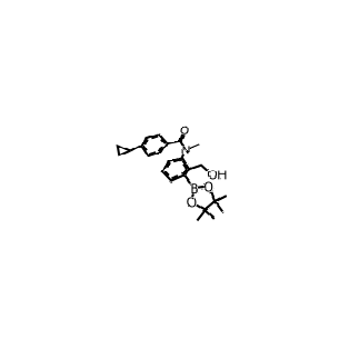 CN(C(=O)c1ccc(C2CC2)cc1)c1cccc(B2OC(C)(C)C(C)(C)O2)c1CO